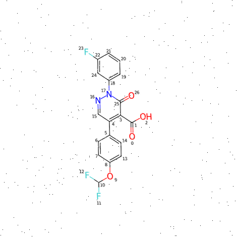 O=C(O)c1c(-c2ccc(OC(F)F)cc2)cnn(-c2cccc(F)c2)c1=O